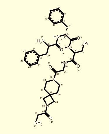 CC(C)CC(NC(=O)[C@@H](Cc1ccccc1)NC(=O)C(N)Cc1ccccc1)C(=O)NCC(=O)N1CCC2(CC1)CN(C(=O)CN)C2